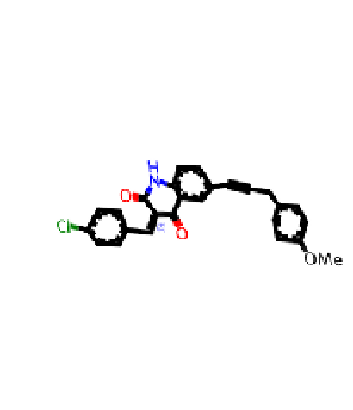 COc1ccc(CC#Cc2ccc3c(c2)C(=O)/C(=C/c2ccc(Cl)cc2)C(=O)N3)cc1